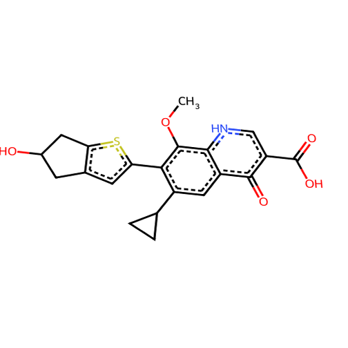 COc1c(-c2cc3c(s2)CC(O)C3)c(C2CC2)cc2c(=O)c(C(=O)O)c[nH]c12